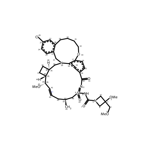 COCC1(OC)CN(C(=O)NS2(=O)=NC(=O)c3ccc4c(c3)N(Cc3ccc(Cl)cc3CCCCO4)C[C@@H]3CC[C@H]3[C@@H](OC)/C=C/C[C@H](C)C2)C1